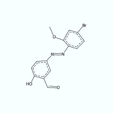 COc1cc(Br)ccc1/N=N/c1ccc(O)c(C=O)c1